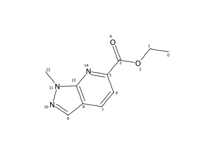 CCOC(=O)c1ccc2cnn(C)c2n1